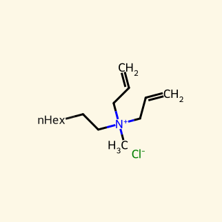 C=CC[N+](C)(CC=C)CCCCCCCC.[Cl-]